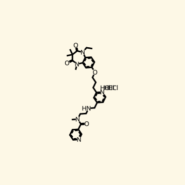 CCN1C(=O)C(C)(C)C(=O)N(C)c2cc(OCCCc3cc(CNCCN(C)C(=O)c4cccnc4)ccn3)ccc21.Cl.Cl.Cl